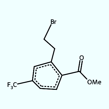 COC(=O)c1ccc(C(F)(F)F)cc1CCBr